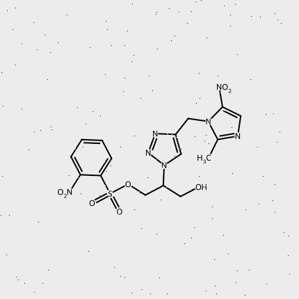 Cc1ncc([N+](=O)[O-])n1Cc1cn(C(CO)COS(=O)(=O)c2ccccc2[N+](=O)[O-])nn1